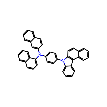 c1ccc2cc(N(c3ccc(-n4c5ccccc5c5c6ccccc6ccc54)cc3)c3cccc4ccccc34)ccc2c1